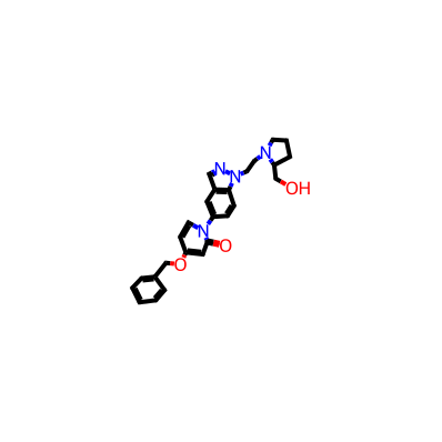 O=c1cc(OCc2ccccc2)ccn1-c1ccc2c(cnn2CCN2CCCC2CO)c1